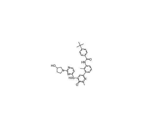 Cc1c(NC(=O)c2ccc(C(C)(C)C)cc2)cccc1-c1cc([AsH]c2ccnc(N3CCC(O)C3)n2)c(=O)n(C)n1